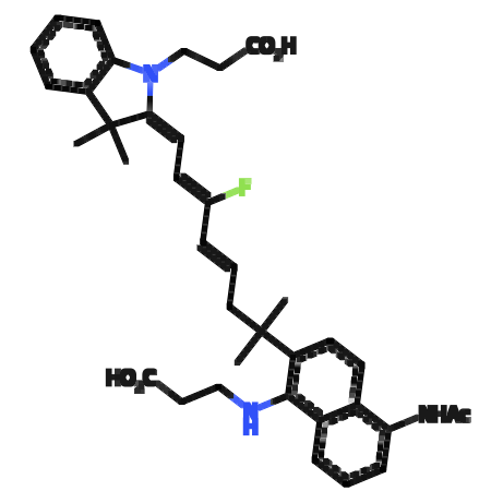 CC(=O)Nc1cccc2c(NCCC(=O)O)c(C(C)(C)C/C=C/C(F)=C/C=C3/N(CCC(=O)O)c4ccccc4C3(C)C)ccc12